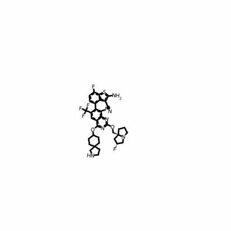 N#Cc1c(N)sc2c(F)ccc(-c3c(C(F)(F)F)cc4c(OC5CCC6(CCNC6)CC5)nc(OC[C@@]56CCCN5C[C@H](F)C6)nc4c3F)c12